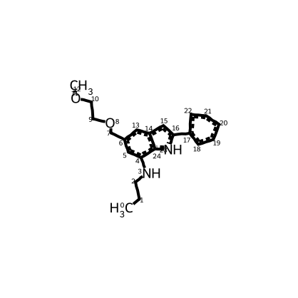 CCCNc1cc(COCCOC)cc2cc(-c3ccccc3)[nH]c12